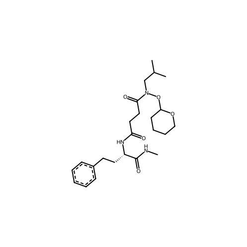 CNC(=O)[C@H](CCc1ccccc1)NC(=O)CCC(=O)N(CC(C)C)OC1CCCCO1